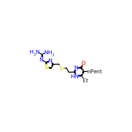 CCCCCc1c(CC)[nH]c(CCSCc2csc(N=C(N)N)n2)nc1=O